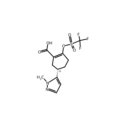 Cn1nccc1[C@H]1CCC(OS(=O)(=O)C(F)(F)F)=C(C(=O)O)C1